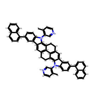 Cc1ccncc1-n1c2ccc(-c3cccc4ccccc34)cc2c2cc3c4c(c21)CCc1cc2c5cc(-c6cccc7ccccc67)ccc5n(-c5cnccc5C)c2c(c1-4)CC3